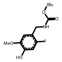 COc1cc(CNC(=O)OC(C)(C)C)c(F)cc1O